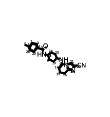 Cc1ccc(C(=O)NC2CCC(NC3=CCCc4nc(C#N)cn43)CC2)cc1